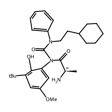 COc1cc(N(C(=O)[C@@H](C)N)C(=O)N(CCC2CCCCC2)c2ccccc2)c(O)c(C(C)(C)C)c1